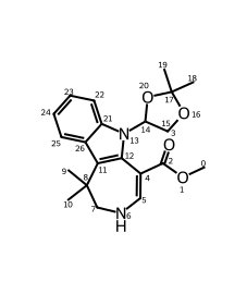 COC(=O)C1=CNCC(C)(C)c2c1n(C1COC(C)(C)O1)c1ccccc21